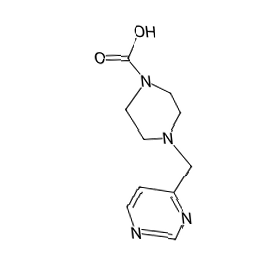 O=C(O)N1CCN(Cc2ccncn2)CC1